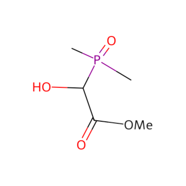 COC(=O)C(O)P(C)(C)=O